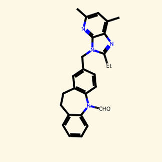 CCc1nc2c(C)cc(C)nc2n1Cc1ccc2c(c1)CCc1ccccc1N2C=O